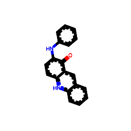 O=c1c(Nc2ccccc2)ccc2[nH]c3ccccc3cc1-2